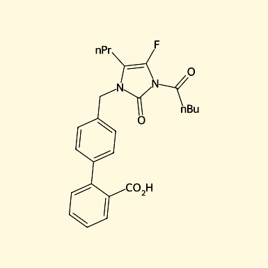 CCCCC(=O)n1c(F)c(CCC)n(Cc2ccc(-c3ccccc3C(=O)O)cc2)c1=O